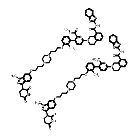 Cc1c(OCCCN2CCN(CCCOc3ccc4c(C5CCC(=O)NC5=O)nn(C)c4c3)CC2)cccc1-c1ccc(N2CCc3cccc(C(=O)Nc4nc5ccccc5s4)c3C2)nc1C(=O)O.Cc1c(OCCCN2CCN(CCCOc3ccc4c(C5CCC(=O)NC5=O)nn(C)c4c3)CC2)cccc1-c1ccc(N2CCc3cccc(C(=O)Nc4nc5ccccc5s4)c3C2)nc1C(=O)OC(C)(C)C